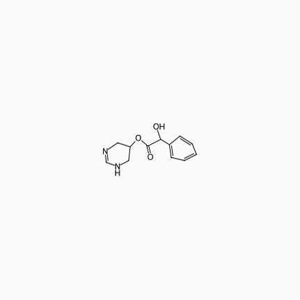 O=C(OC1CN=CNC1)C(O)c1ccccc1